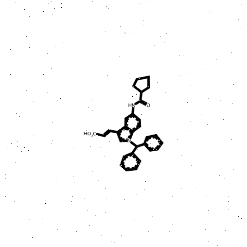 O=C(O)C=Cc1cn(C(c2ccccc2)c2ccccc2)c2ccc(NC(=O)C3CCCC3)cc12